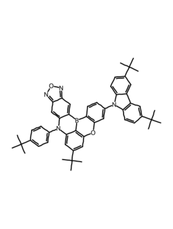 CC(C)(C)c1ccc(N2c3cc4nonc4cc3B3c4ccc(-n5c6ccc(C(C)(C)C)cc6c6cc(C(C)(C)C)ccc65)cc4Oc4cc(C(C)(C)C)cc2c43)cc1